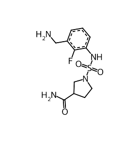 NCc1cccc(NS(=O)(=O)N2CCC(C(N)=O)C2)c1F